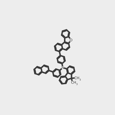 CC1(C)c2ccccc2-c2c(N(c3ccc(-c4cccc5c4ccc4oc6ccccc6c45)cc3)c3cccc(-c4ccc5ccccc5c4)c3)cccc21